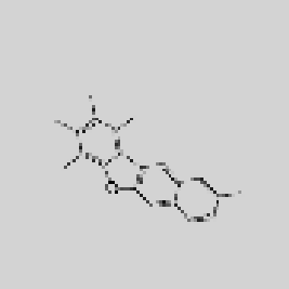 Cc1ccc2cc3oc4c(C)c(C)c(C)c(C)c4c3cc2c1